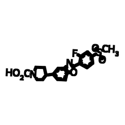 CS(=O)(=O)c1ccc(-c2nc3cc(C4CCN(C(=O)O)CC4)ccc3o2)c(F)c1